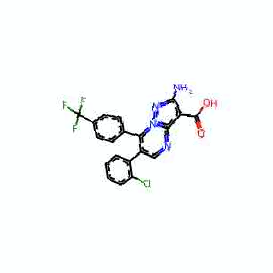 Nc1nn2c(-c3ccc(C(F)(F)F)cc3)c(-c3ccccc3Cl)cnc2c1C(=O)O